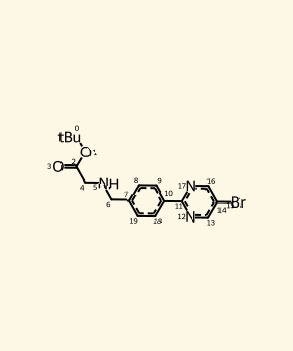 CC(C)(C)OC(=O)CNCc1ccc(-c2ncc(Br)cn2)cc1